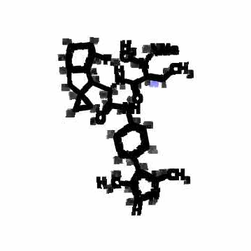 C/C=C(/C(=O)N[C@H](C(=O)Nc1ccc(-c2c(C)n[nH]c2C)cc1)C1c2c(F)cccc2CC12CC2)N(C)NC